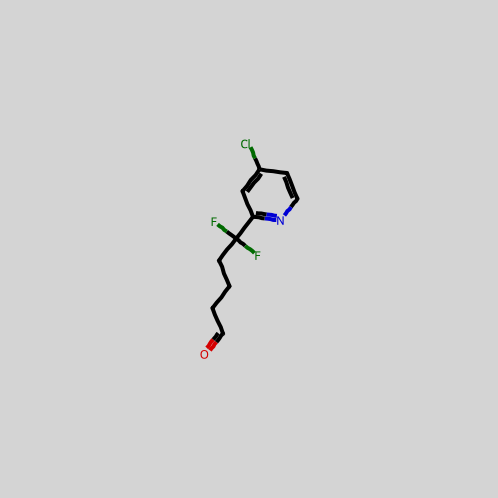 O=CCCCC(F)(F)c1cc(Cl)ccn1